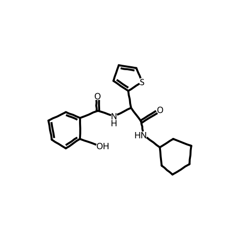 O=C(NC(C(=O)NC1CCCCC1)c1cccs1)c1ccccc1O